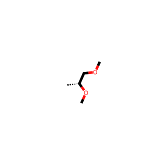 COC[C@@H](C)OC